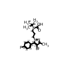 Cc1nn(CCCN(C(=O)O)C(C)(C)C)c(-c2ccc(F)cc2)c1Br